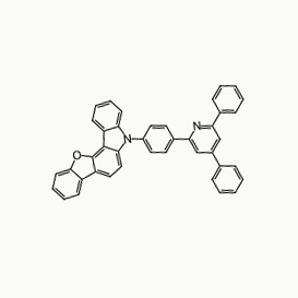 c1ccc(-c2cc(-c3ccccc3)nc(-c3ccc(-n4c5ccccc5c5c6oc7ccccc7c6ccc54)cc3)c2)cc1